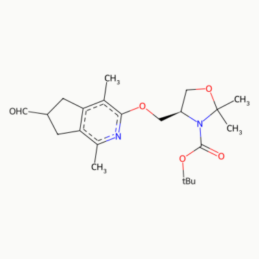 Cc1nc(OC[C@H]2COC(C)(C)N2C(=O)OC(C)(C)C)c(C)c2c1CC(C=O)C2